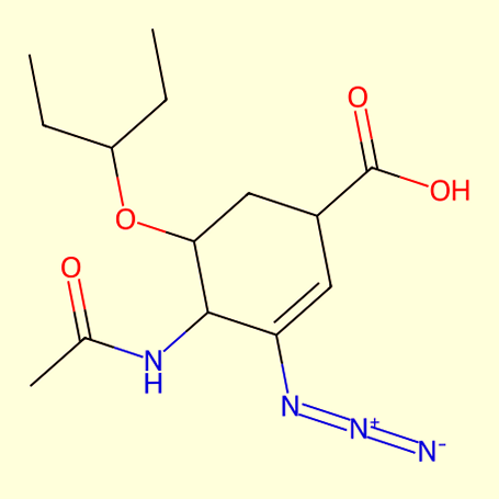 CCC(CC)OC1CC(C(=O)O)C=C(N=[N+]=[N-])C1NC(C)=O